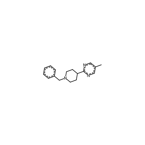 Cc1cnc(C2CCN(Cc3ccccc3)CC2)nc1